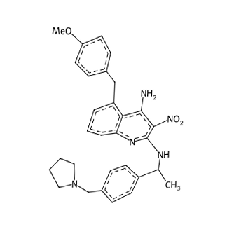 COc1ccc(Cc2cccc3nc(NC(C)c4ccc(CN5CCCC5)cc4)c([N+](=O)[O-])c(N)c23)cc1